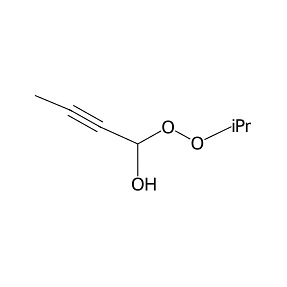 CC#CC(O)OOC(C)C